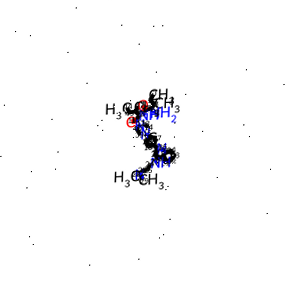 CCC(C)C(N)C(=O)NC(C(=O)N1CCN(c2ccc(-c3cc(NCCCN(C)C)c4ccccc4n3)cc2)CC1)C(C)CC